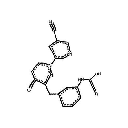 N#Cc1cncc(-n2ccc(=O)c(Cc3cccc(NC(=O)O)c3)n2)c1